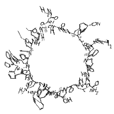 CCCC[C@H]1C(=O)N(C)[C@@H](CCCC)C(=O)N[C@@H](CC(C)C)C(=O)N[C@H](C(=O)NCC(N)=O)CNCC(=O)N[C@@H](Cc2ccc(O)cc2)C(=O)N(C)[C@@H](C)C(=O)N[C@@H](CC(N)=O)C(=O)N2CCC[C@H]2C(=O)N[C@@H](CCC(N)=O)C(=O)N[C@@H](CC(C)C)C(=O)N2C[C@H](O)C[C@H]2C(=O)N[C@@H](CC2c3ccccc3NC2C)C(=O)N[C@@H](CC(N)=O)C(=O)N[C@@H](Cc2cn(CC(=O)O)c3ccccc23)C(=O)N1C